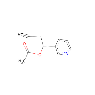 C#CCC(OC(C)=O)c1cccnc1